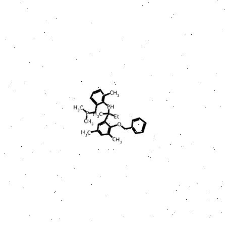 CCC(C)(Pc1c(C)cccc1CP(C)C)c1cc(C)cc(C)c1OCc1ccccc1